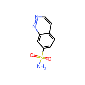 NS(=O)(=O)c1ccc2ccnnc2c1